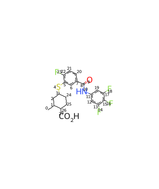 CC1CC(Sc2cc(C(=O)Nc3cc(F)c(F)c(F)c3)ccc2F)CCC1C(=O)O